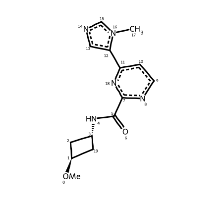 CO[C@H]1C[C@H](NC(=O)c2nccc(-c3cncn3C)n2)C1